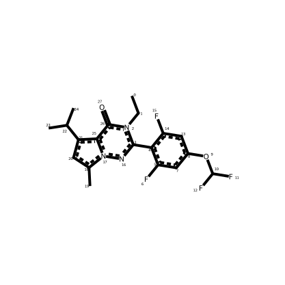 CCn1c(-c2c(F)cc(OC(F)F)cc2F)nn2c(C)cc(C(C)C)c2c1=O